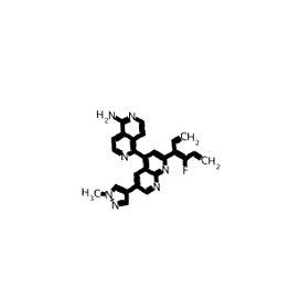 C=C/C(F)=C(\C=C)c1cc(-c2nccc3c(N)nccc23)c2cc(-c3cnn(C)c3)cnc2n1